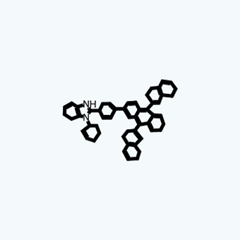 C1=CC(N2C3=C(C=CCC3)NC2C2C=CC(c3ccc4c(C5=CC6=C(C=CCC6)CC5)c5c(c(C6=CC7=C(C=CCC7)CC6)c4c3)=CCCC=5)=CC2)CCC1